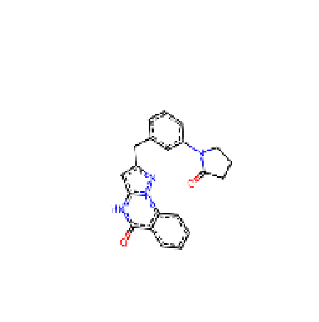 O=C1CCCN1c1cccc(Cc2cc3[nH]c(=O)c4ccccc4n3n2)c1